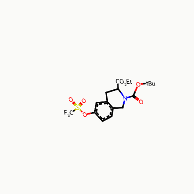 CCOC(=O)C1Cc2cc(OS(=O)(=O)C(F)(F)F)ccc2CN1C(=O)OC(C)(C)C